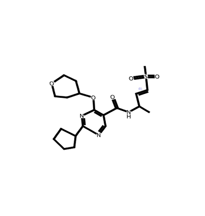 CC(/C=C/S(C)(=O)=O)NC(=O)c1cnc(C2CCCC2)nc1OC1CCOCC1